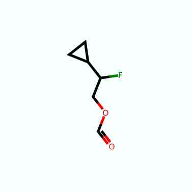 O=COCC(F)C1CC1